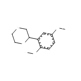 CCCCOc1ccc(OCCCC)c(C2CNCCO2)c1